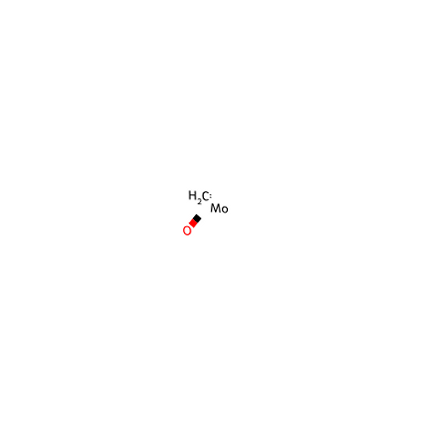 C=O.[CH2].[Mo]